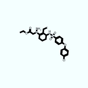 CCOC(=O)CN(N)C1=C(CI)C(NS(=O)(=O)c2ccc(Oc3ccc(Cl)cc3)cc2)CCC1